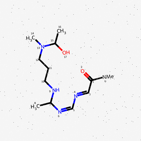 CNC(=O)/C=N/C=N\C(C)NCCCN(C)C(C)O